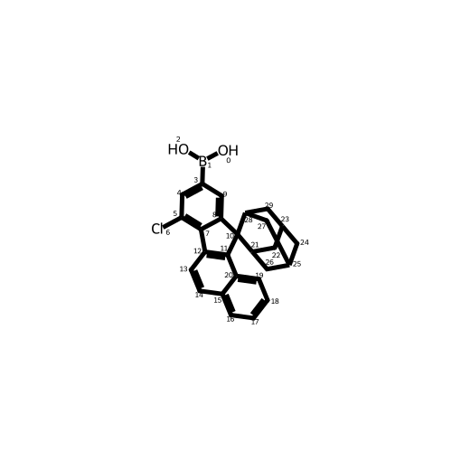 OB(O)c1cc(Cl)c2c(c1)C1(c3c-2ccc2ccccc32)C2CC3CC(C2)CC1C3